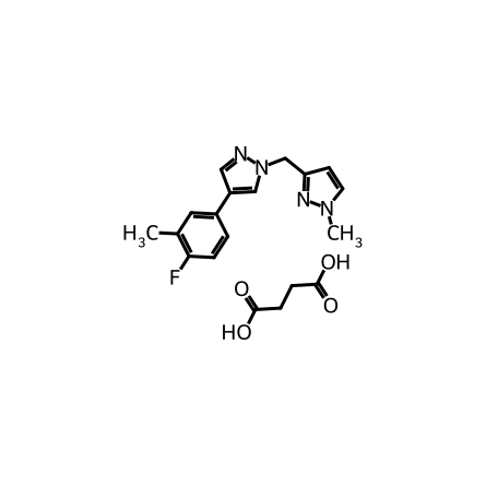 Cc1cc(-c2cnn(Cc3ccn(C)n3)c2)ccc1F.O=C(O)CCC(=O)O